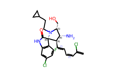 C=C(Cl)/C=C\C=C(/F)[C@@H]1[C@@H](N)[C@@H](CO)N(CCC2CC2)[C@]12C(=O)Nc1cc(Cl)ccc12